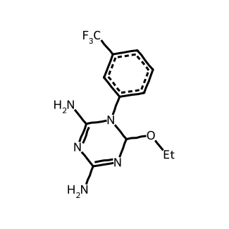 CCOC1N=C(N)N=C(N)N1c1cccc(C(F)(F)F)c1